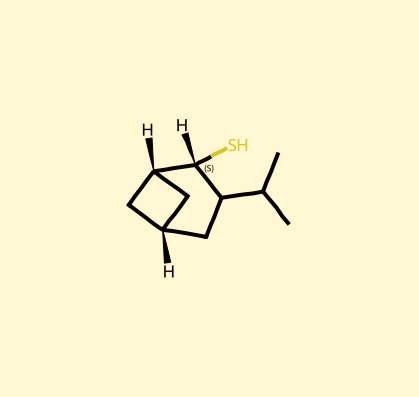 CC(C)C1C[C@H]2C[C@H](C2)[C@@H]1S